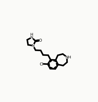 O=C1NCCN1CCCCc1c(Cl)ccc2c1CCNCC2